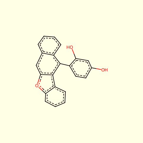 Oc1ccc(-c2c3ccccc3cc3oc4ccccc4c23)c(O)c1